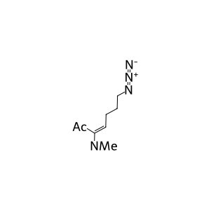 CN/C(=C/CCCN=[N+]=[N-])C(C)=O